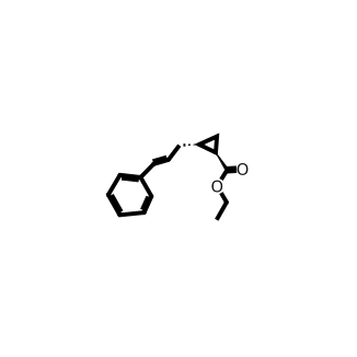 CCOC(=O)[C@@H]1C[C@H]1C/C=C/c1ccccc1